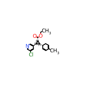 CCOC(=O)[C@H]1[C@H](c2cncc(Cl)c2)[C@H]1C1C=CC(C)=CC1